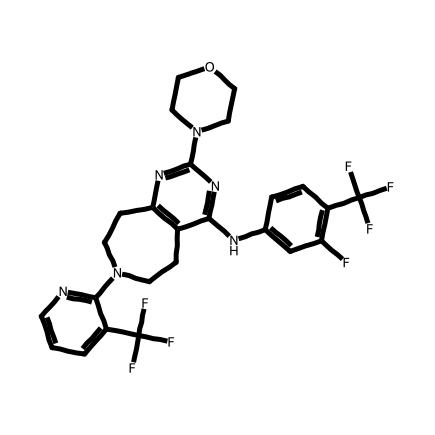 Fc1cc(Nc2nc(N3CCOCC3)nc3c2CCN(c2ncccc2C(F)(F)F)CC3)ccc1C(F)(F)F